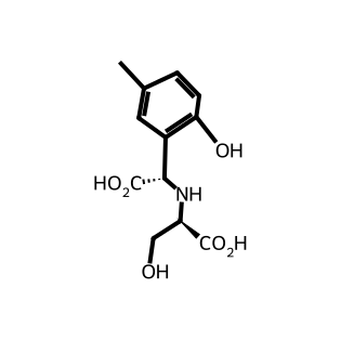 Cc1ccc(O)c([C@H](N[C@H](CO)C(=O)O)C(=O)O)c1